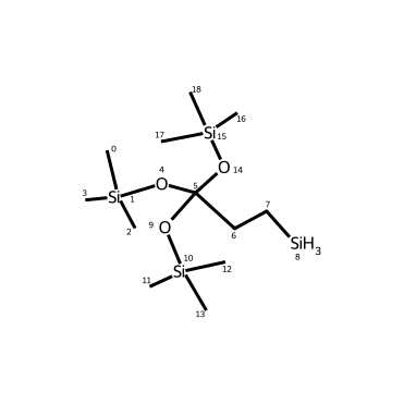 C[Si](C)(C)OC(CC[SiH3])(O[Si](C)(C)C)O[Si](C)(C)C